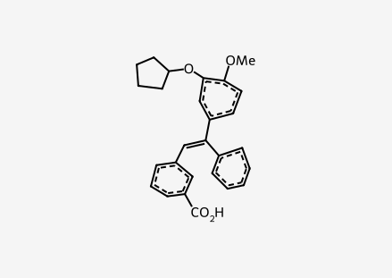 COc1ccc(/C(=C/c2cccc(C(=O)O)c2)c2ccccc2)cc1OC1CCCC1